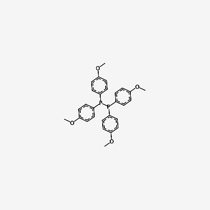 COc1ccc(P(c2ccc(OC)cc2)P(c2ccc(OC)cc2)c2ccc(OC)cc2)cc1